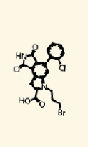 O=C1NC(=O)c2c1c(-c1ccccc1Cl)cc1c2cc(C(=O)O)n1CCCBr